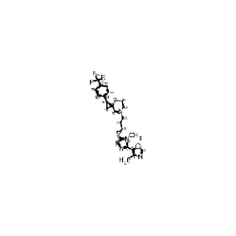 Cc1ncoc1-c1nnc(SCCCN2CCC[C@]3(CC3c3ccc(C(F)(F)F)cc3)C2)n1C